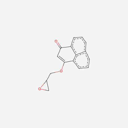 O=C1C=C(OCC2CO2)c2cccc3cccc1c23